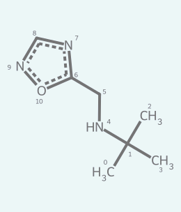 CC(C)(C)NCc1ncno1